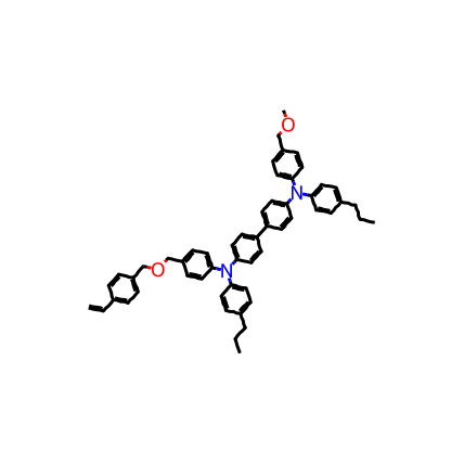 C=Cc1ccc(COCc2ccc(N(c3ccc(CCC)cc3)c3ccc(-c4ccc(N(c5ccc(CCC)cc5)c5ccc(COC)cc5)cc4)cc3)cc2)cc1